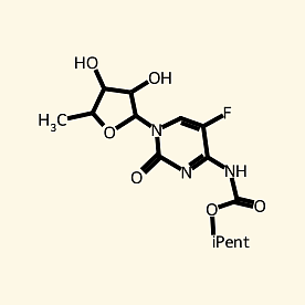 CCCC(C)OC(=O)Nc1nc(=O)n(C2OC(C)C(O)C2O)cc1F